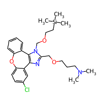 CN(C)CCCOCc1nc2c(n1COCC[Si](C)(C)C)-c1ccccc1Oc1ccc(Cl)cc1-2